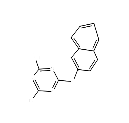 Sc1nc(S)nc(Nc2ccc3ccccc3c2)n1